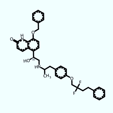 CC(Cc1ccc(OCC(F)(F)CCc2ccccc2)cc1)NC[C@@H](O)c1ccc(OCc2ccccc2)c2[nH]c(=O)ccc12